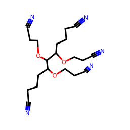 N#CCCCC(OCCC#N)C(OCCC#N)C(CCCC#N)OCCC#N